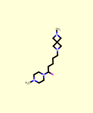 CN1CCN(C(I)CCCCN2CC3(CN(C)C3)C2)CC1